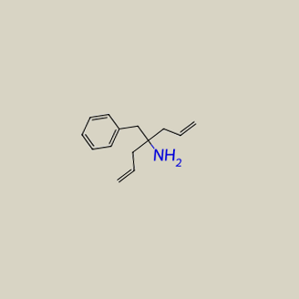 C=CCC(N)(CC=C)Cc1ccccc1